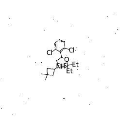 CC[Si](CC)(CC)OC(CNC1CC(C)(C)C1)c1c(Cl)cccc1Cl